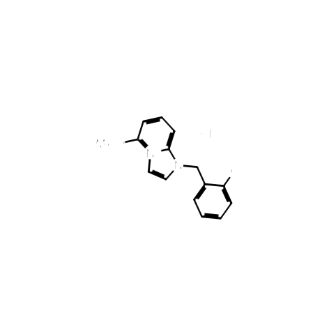 COc1cccc2n(Cc3ccccc3Cl)cc[n+]12.[Cl-]